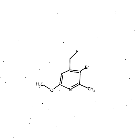 COc1cc(CF)c(Br)c(C)n1